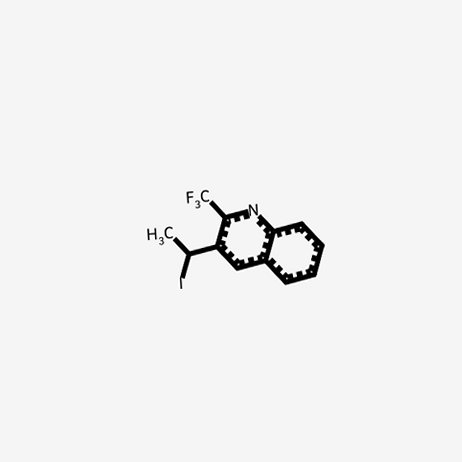 CC(I)c1cc2ccccc2nc1C(F)(F)F